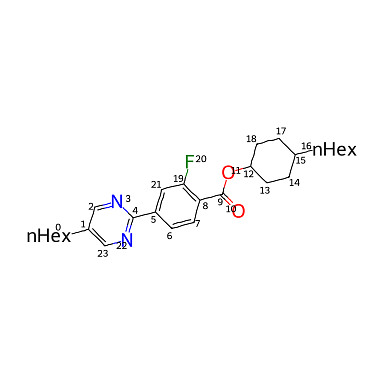 CCCCCCc1cnc(-c2ccc(C(=O)OC3CCC(CCCCCC)CC3)c(F)c2)nc1